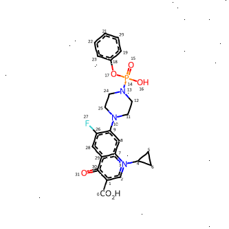 O=C(O)c1cn(C2CC2)c2cc(N3CCN(P(=O)(O)Oc4ccccc4)CC3)c(F)cc2c1=O